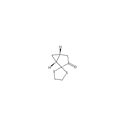 O=C1C[C@H]2C[C@H]2C12SCCS2